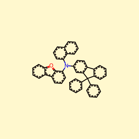 c1ccc(C2(c3ccccc3)c3ccccc3-c3ccc(N(c4cccc5ccccc45)c4cccc5c4oc4ccccc45)cc32)cc1